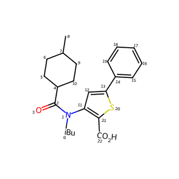 CCC(C)N(C(=O)C1CCC(C)CC1)c1cc(-c2ccccc2)sc1C(=O)O